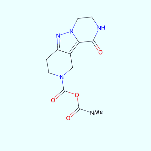 CNC(=O)OC(=O)N1CCc2nn3c(c2C1)C(=O)NCC3